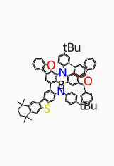 CC(C)(C)c1ccc(N2B3c4cc5c(-c6ccccc6)oc(-c6ccccc6)c5cc4N(c4ccc(C(C)(C)C)cc4-c4ccccc4)c4c3c(cc3c4oc4ccccc43)-c3cc4c(cc32)sc2cc3c(cc24)C(C)(C)CCC3(C)C)cc1